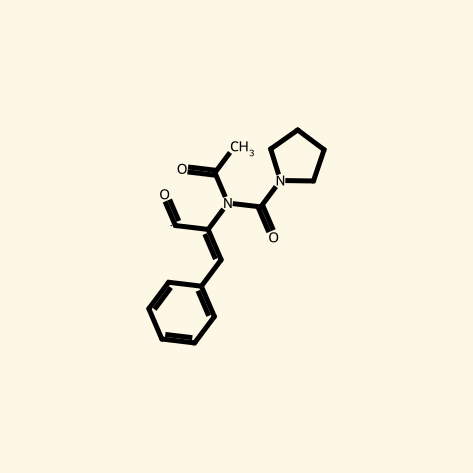 CC(=O)N(C(=O)N1CCCC1)C([C]=O)=Cc1ccccc1